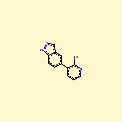 Cc1ncccc1-c1ccc2[nH]ncc2c1